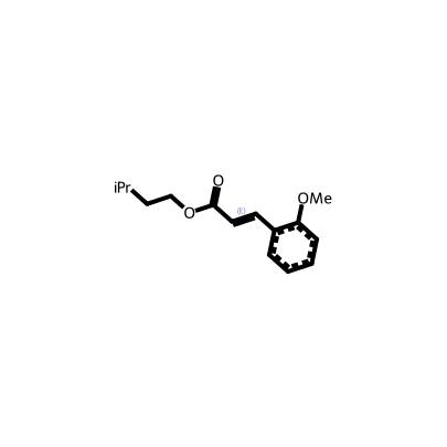 COc1ccccc1/C=C/C(=O)OCCC(C)C